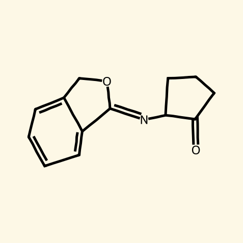 O=C1CCCC1/N=C1\OCc2ccccc21